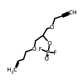 C#CCOCC(COCCC=C)OP(=O)(F)F